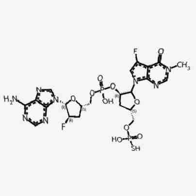 Cn1cnc2c(c(F)cn2C2O[C@H](COP(=O)(O)S)C[C@H]2OP(=O)(O)OC[C@@H]2C[C@@H](F)[C@H](n3cnc4c(N)ncnc43)O2)c1=O